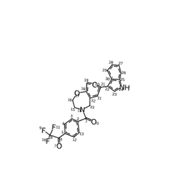 O=C(c1ccc(C(=O)C(F)(F)F)cc1)N1CCOc2ccc(-c3c[nH]c4ccccc34)cc2C1